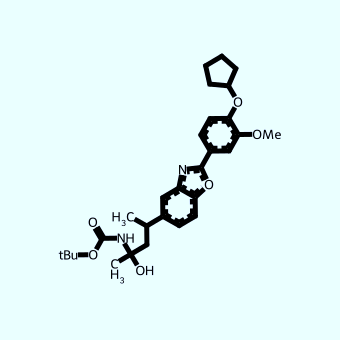 COc1cc(-c2nc3cc(C(C)CC(C)(O)NC(=O)OC(C)(C)C)ccc3o2)ccc1OC1CCCC1